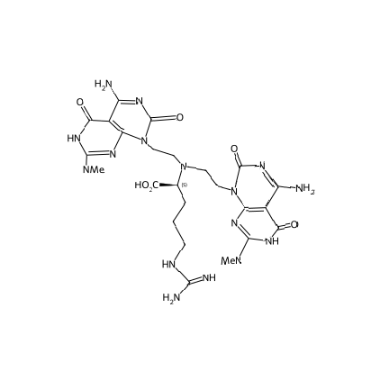 CNc1nc2c(c(N)nc(=O)n2CCN(CCn2c(=O)nc(N)c3c(=O)[nH]c(NC)nc32)[C@@H](CCCNC(=N)N)C(=O)O)c(=O)[nH]1